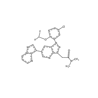 CN(C)C(=O)Cc1nn(-c2cc(Cl)ccc2OC(F)F)c2cc(-c3cnn4cccnc34)cnc12